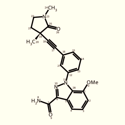 COc1cccc2c(C(N)=O)nn(-c3cccc(C#C[C@]4(C)CCN(C)C4=O)c3)c12